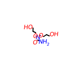 NC(=O)N(OCCCO)OCCCO